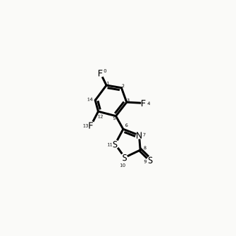 Fc1cc(F)c(-c2nc(=S)ss2)c(F)c1